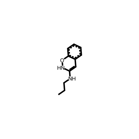 CCCNC1=Cc2ccccc2ON1